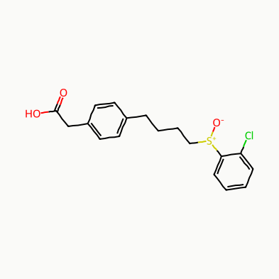 O=C(O)Cc1ccc(CCCC[S+]([O-])c2ccccc2Cl)cc1